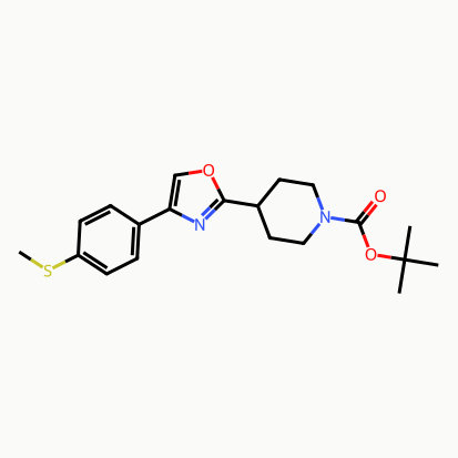 CSc1ccc(-c2coc(C3CCN(C(=O)OC(C)(C)C)CC3)n2)cc1